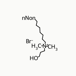 CCCCCCCCCCCCCCCC[N+](C)(C)CCCO.[Br-]